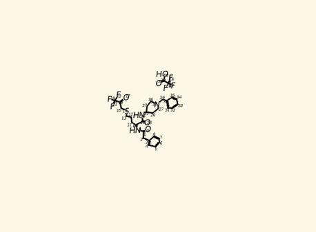 O=C(Cc1ccccc1)N[C@@H](CCCSCC(=O)C(F)(F)F)C(=O)NC1CCN(Cc2ccccc2)CC1.O=C(O)C(F)(F)F